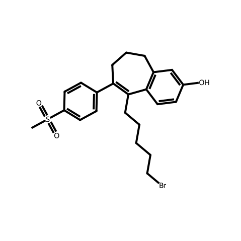 CS(=O)(=O)c1ccc(C2=C(CCCCCBr)c3ccc(O)cc3CCC2)cc1